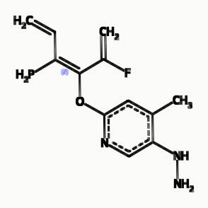 C=C/C(P)=C(/Oc1cc(C)c(NN)cn1)C(=C)F